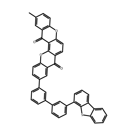 Cc1ccc2oc3ccc4c(=O)c5cc(-c6cccc(-c7cccc(-c8cccc9c8sc8ccccc89)c7)c6)ccc5oc4c3c(=O)c2c1